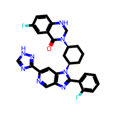 O=C1c2cc(F)ccc2NCN1[C@H]1CCC[C@@H](n2c(-c3ccccc3F)nc3cnc(-c4nc[nH]n4)cc32)C1